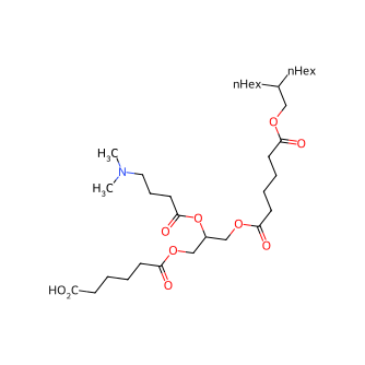 CCCCCCC(CCCCCC)COC(=O)CCCCC(=O)OCC(COC(=O)CCCCC(=O)O)OC(=O)CCCN(C)C